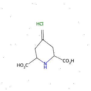 C=C1CC(C(=O)O)NC(C(=O)O)C1.Cl